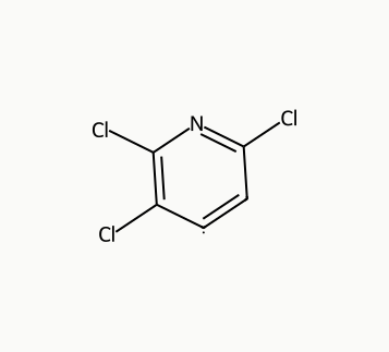 Clc1c[c]c(Cl)c(Cl)n1